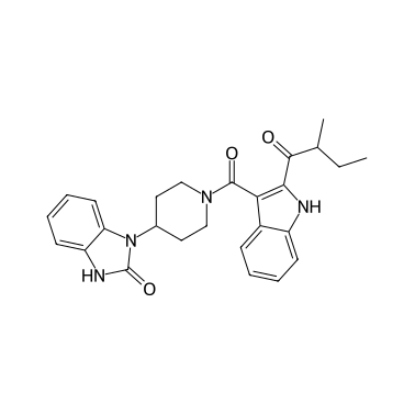 CCC(C)C(=O)c1[nH]c2ccccc2c1C(=O)N1CCC(n2c(=O)[nH]c3ccccc32)CC1